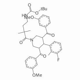 COc1cccc(C(=O)C2CN(C(=O)C(C)(C)CCNC(=O)OC(C)(C)C)CC(C(=O)c3cccc(OC)c3)C2c2cccc(F)c2C)c1